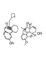 COc1ccc2c3c1O[C@H]1[C@@H](O)C=C[C@H]4[C@@H](C2)N(C)CC[C@@]341.Oc1ccc2c(c1)[C@@]13CCCC[C@@]1(O)[C@@H](C2)N(CC1CCC1)CC3